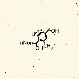 CCCCCCCCCC(O)c1ccc(CO)cc1C.[Li][CH2]CCC